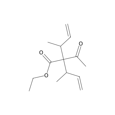 C=CC(C)C(C(C)=O)(C(=O)OCC)C(C)C=C